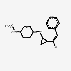 CCC(=Cc1ccccc1)C1CC1NC1CCC(NC(=O)O)CC1